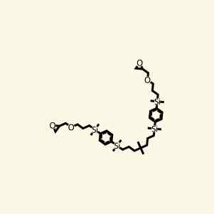 CC(C)(CCC[Si](C)(C)c1ccc([Si](C)(C)CCCOCC2CO2)cc1)CCC[Si](C)(C)c1ccc([Si](C)(C)CCCOCC2CO2)cc1